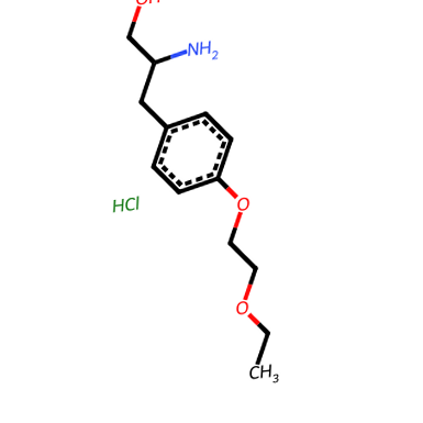 CCOCCOc1ccc(CC(N)CO)cc1.Cl